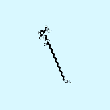 CCCCCCCCCCCCCCCCCC(=O)OCCn1c([N+](=O)[O-])cnc1C